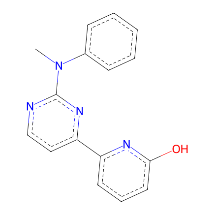 CN(c1ccccc1)c1nccc(-c2cccc(O)n2)n1